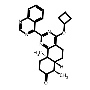 C[C@H]1C(=O)CC[C@@]2(C)c3nc(-c4ncnc5ccccc45)nc(OC4CCC4)c3CC[C@H]12